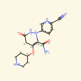 N#Cc1ccc(N2NC(=O)CC(OC3CCNCC3)=C2C(N)=O)cn1